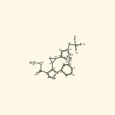 COC(=O)c1cnn(-c2cccc(Br)c2)c1C1CC1c1cn(CC(F)(F)F)nn1